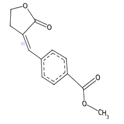 COC(=O)c1ccc(/C=C2/CCOC2=O)cc1